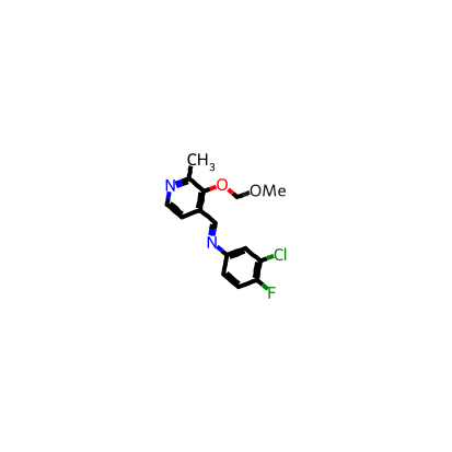 COCOc1c(/C=N/c2ccc(F)c(Cl)c2)ccnc1C